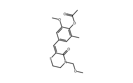 COCN1CCS/C(=C/c2cc(C)c(OC(C)=O)c(OC)c2)C1=O